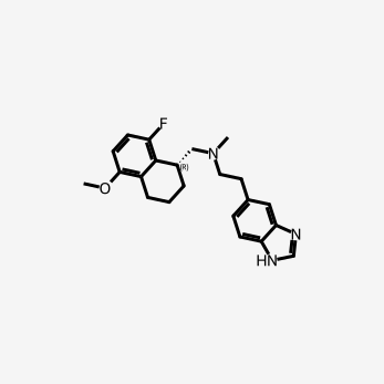 COc1ccc(F)c2c1CCC[C@H]2CN(C)CCc1ccc2[nH]cnc2c1